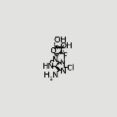 Nc1nc(Cl)nc2c1NCN2[C@@H]1O[C@H](CO)[C@@H](O)[C@@H]1F